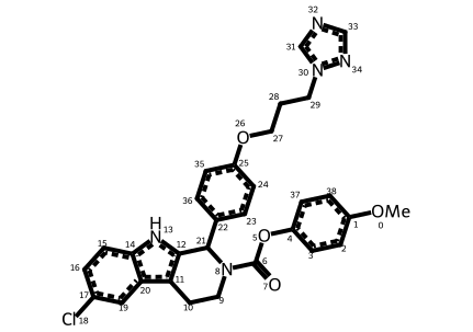 COc1ccc(OC(=O)N2CCc3c([nH]c4ccc(Cl)cc34)C2c2ccc(OCCCn3cncn3)cc2)cc1